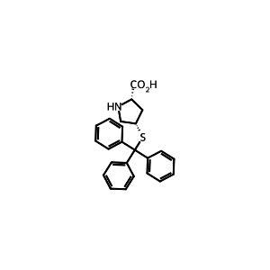 O=C(O)[C@@H]1C[C@H](SC(c2ccccc2)(c2ccccc2)c2ccccc2)CN1